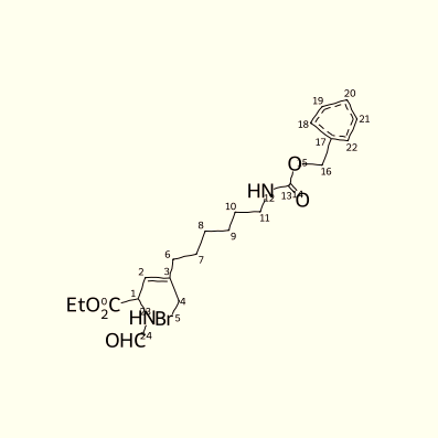 CCOC(=O)C(C=C(CBr)CCCCCCNC(=O)OCc1ccccc1)NC=O